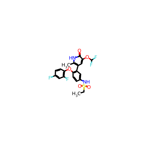 CCS(=O)(=O)Nc1ccc(Oc2ccc(F)cc2F)c(-c2cc(OC(F)F)c(=O)[nH]c2C)c1